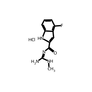 CNC(N)=NC(=O)c1cc2c(F)cccc2[nH]1.Cl